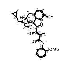 COc1ccccc1NC(=O)/C(C)=C(\O)[C@@H]1Oc2c(O)ccc3c2[C@@]12CCN(CC1CC1)[C@H](C3)[C@@]2(C)O